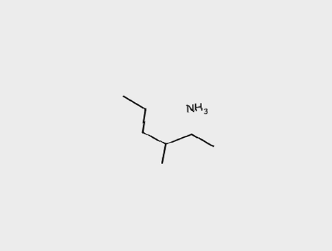 CCCC(C)CC.N